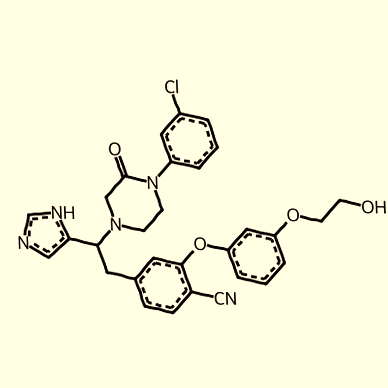 N#Cc1ccc(CC(c2cnc[nH]2)N2CCN(c3cccc(Cl)c3)C(=O)C2)cc1Oc1cccc(OCCO)c1